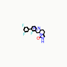 NC1CCc2c[nH]c(=O)n2C1Cc1cccc(-c2cc(F)cc(F)c2)c1F